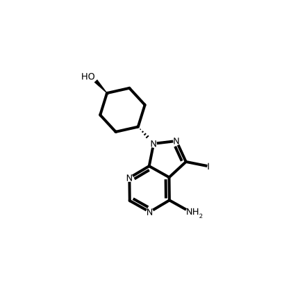 Nc1ncnc2c1c(I)nn2[C@H]1CC[C@H](O)CC1